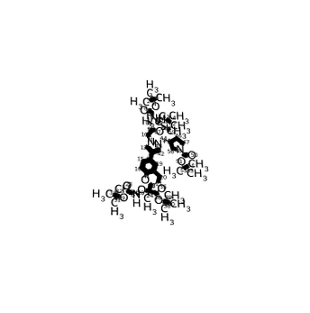 CC(C)(C)OC(=O)NC[C@@H](Cn1cc(-c2ccc3c(c2)CC[C@H]([C@](C)(ONC(=O)OC(C)(C)C)C(=O)OC(C)(C)C)O3)c[n+]1C[C@@H]1CCN(C(=O)OC(C)(C)C)C1)O[Si](C)(C)C(C)(C)C